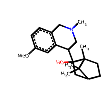 COc1ccc2c(c1)C(C1(O)CC3CCC1(C)C3(C)C)CN(C)C2